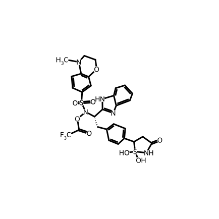 CN1CCOc2cc(S(=O)(=O)N(OC(=O)C(F)(F)F)[C@@H](Cc3ccc(C4CC(=O)NS4(O)O)cc3)c3nc4ccccc4[nH]3)ccc21